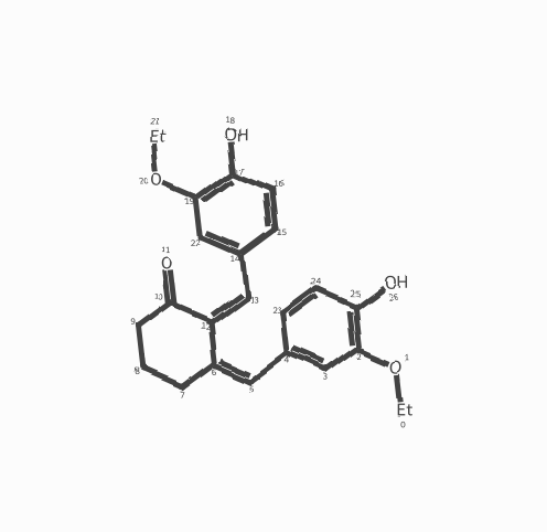 CCOc1cc(/C=C2/CCCC(=O)/C2=C\c2ccc(O)c(OCC)c2)ccc1O